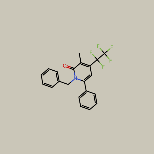 Cc1c(C(F)(F)C(F)(F)F)cc(-c2ccccc2)n(Cc2ccccc2)c1=O